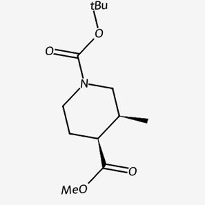 COC(=O)[C@H]1CCN(C(=O)OC(C)(C)C)C[C@H]1C